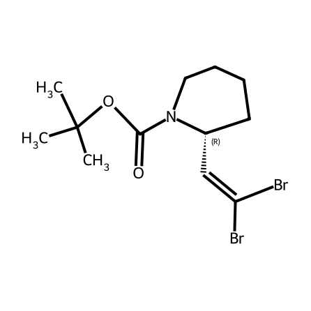 CC(C)(C)OC(=O)N1CCCC[C@@H]1C=C(Br)Br